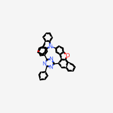 c1ccc(-c2nc(-c3ccccc3)nc(-c3cc4ccccc4c4oc5ccc(-n6c7ccccc7c7ccccc76)cc5c34)n2)cc1